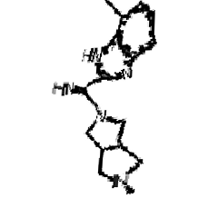 Cc1cccc2nc(C(=N)N3CC4CN(C)CC4C3)[nH]c12